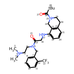 CN(C)CCN(Cc1ccccc1C(F)(F)F)C(=O)CNc1cccc2c1CN(C(=O)C(C)(C)C)CC2